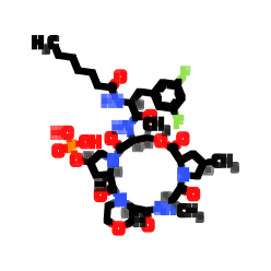 CCCCCCC(=O)N[C@@H](Cc1cc(F)cc(F)c1)C(=O)N[C@@H]1C(=O)N2C[C@H](OP(=O)(O)O)C[C@H]2C(=O)N2CCOC[C@H]2C(=O)N[C@@H](C)C(=O)N2C[C@H](C)CC2C(=O)O[C@H]1C